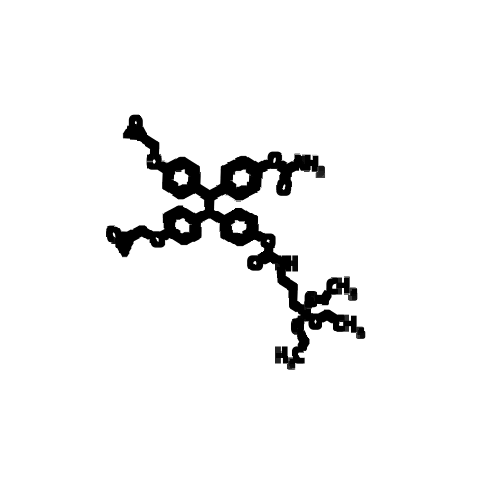 CCO[Si](CCCNC(=O)Oc1ccc(C(c2ccc(OCC3CO3)cc2)C(c2ccc(OCC3CO3)cc2)c2ccc(OC(N)=O)cc2)cc1)(OCC)OCC